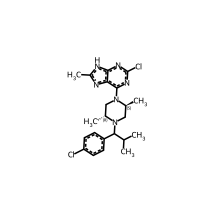 Cc1nc2c(N3C[C@@H](C)N(C(c4ccc(Cl)cc4)C(C)C)C[C@@H]3C)nc(Cl)nc2[nH]1